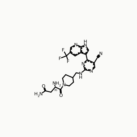 N#Cc1cnc(NCC2CCN(C(=O)[C@H](N)CC(N)=O)CC2)nc1-c1c[nH]c2ncc(C(F)(F)F)cc12